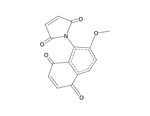 COc1ccc2c(c1N1C(=O)C=CC1=O)C(=O)C=CC2=O